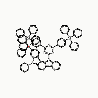 c1ccc(-n2c3cc([Si](c4ccccc4)(c4ccccc4)c4ccccc4)ccc3c3c2ccc2c4ccccc4n(-c4nc(-c5ccc([Si](c6ccccc6)(c6ccccc6)c6ccccc6)cc5)nc(-c5ccc([Si](c6ccccc6)(c6ccccc6)c6ccccc6)cc5)n4)c23)cc1